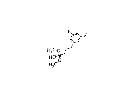 CO[Si](O)(CCCc1cc(F)cc(F)c1)OC